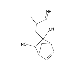 CC(C=N)CC1(C#N)C2C=CC(C2)C1C#N